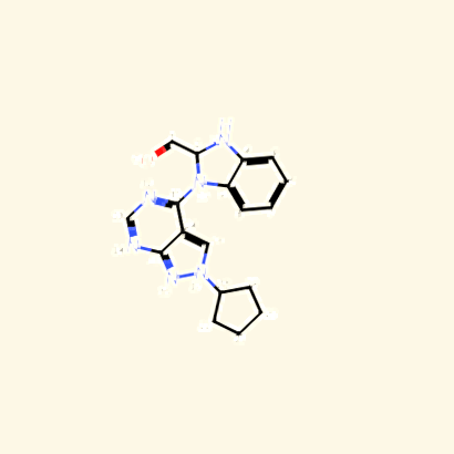 O=CC1Nc2ccccc2N1c1ncnc2nn(C3CCCC3)cc12